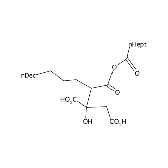 CCCCCCCCCCCCCC(C(=O)OC(=O)CCCCCCC)C(O)(CC(=O)O)C(=O)O